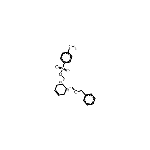 Cc1ccc(S(=O)(=O)OC[C@H]2CC=CC[C@H]2COCc2ccccc2)cc1